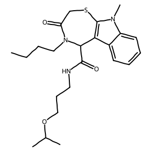 CCCCN1C(=O)CSc2c(c3ccccc3n2C)C1C(=O)NCCCOC(C)C